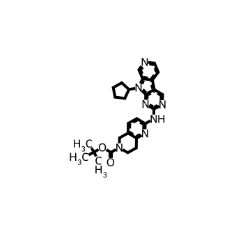 CC(C)(C)OC(=O)N1CCc2nc(Nc3ncc4c5ccncc5n(C5CCCC5)c4n3)ccc2C1